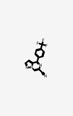 N#Cc1cn2nccc2c(-c2ccc(C(F)(F)F)cc2)n1